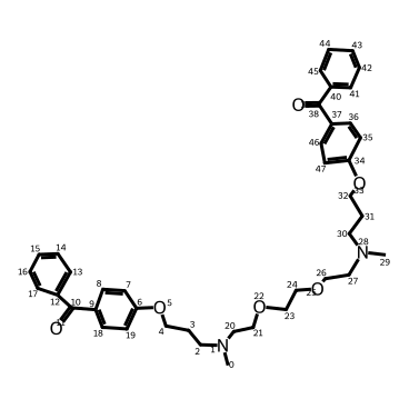 CN(CCCOc1ccc(C(=O)c2ccccc2)cc1)CCOCCOCCN(C)CCCOc1ccc(C(=O)c2ccccc2)cc1